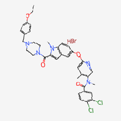 Br.CCOc1ccc(CN2CCN(C(=O)c3cc4cc(Oc5cc(C)c(N(C)C(=O)c6ccc(Cl)c(Cl)c6)cn5)ccc4n3C)CC2)cc1